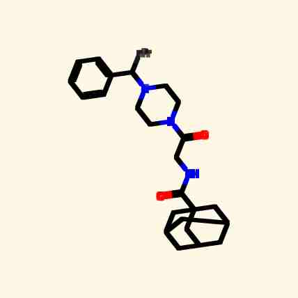 CCCC(c1ccccc1)N1CCN(C(=O)CNC(=O)C23CC4CC(CC(C4)C2)C3)CC1